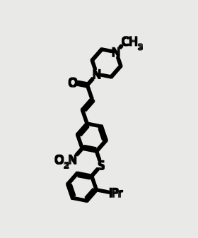 CC(C)c1ccccc1Sc1ccc(/C=C/C(=O)N2CCN(C)CC2)cc1[N+](=O)[O-]